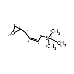 C[Si](C)(C)C/C=C\CC1CO1